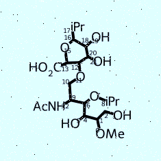 COC(CO)C(O)C(OC(C)C)C(COC1C(C(=O)O)OC(C(C)C)C(O)C1O)NC(C)=O